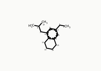 CCc1cc2c(c(CC(C)C)c1)CCC[CH]2